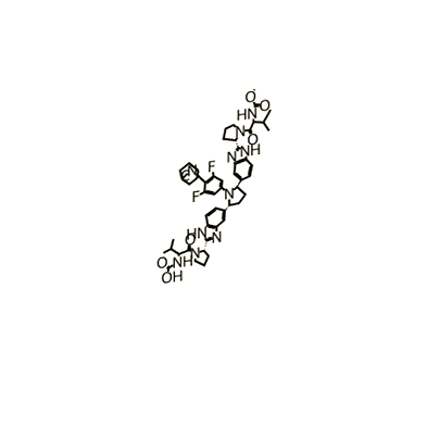 COC(=O)N[C@H](C(=O)N1CCC[C@H]1c1nc2cc([C@H]3CC[C@H](c4ccc5[nH]c([C@@H]6CCCN6C(=O)[C@@H](NC(=O)O)C(C)C)nc5c4)N3c3cc(F)c(N4CC5CCC4CC5)c(F)c3)ccc2[nH]1)C(C)C